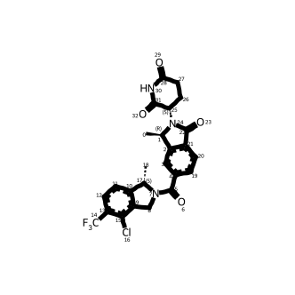 C[C@@H]1c2cc(C(=O)N3Cc4c(ccc(C(F)(F)F)c4Cl)[C@@H]3C)ccc2C(=O)N1[C@H]1CCC(=O)NC1=O